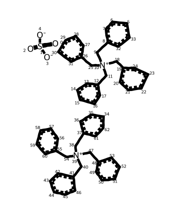 O=S(=O)([O-])[O-].c1ccc(C[N+](Cc2ccccc2)(Cc2ccccc2)Cc2ccccc2)cc1.c1ccc(C[N+](Cc2ccccc2)(Cc2ccccc2)Cc2ccccc2)cc1